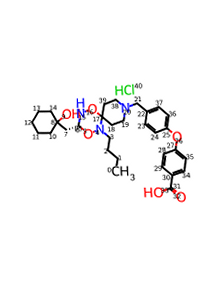 CCCCN1O[C@H](CC2(O)CCCCC2)NOC12CCN(Cc1ccc(Oc3ccc(C(=O)O)cc3)cc1)CC2.Cl